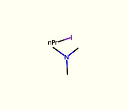 CCCI.CN(C)C